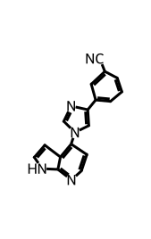 N#Cc1cccc(-c2cn(-c3ccnc4[nH]ccc34)cn2)c1